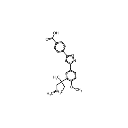 C=CCC(C)(CC)c1cc(-c2cc(-c3ccc(C(=O)O)cc3)on2)ccc1OC